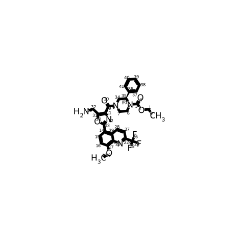 CCOC(=O)N1CCN(C(=O)c2nc(-c3ccc(OC)c4nc(C(F)(F)F)ccc34)oc2CN)C[C@H]1c1ccccc1